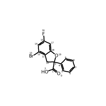 O=C(O)C1(c2ccccc2)Cc2c(Br)cc(F)cc2O1